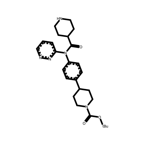 CC(C)(C)OC(=O)N1CCC(c2ccc(N(C(=O)C3CCNCC3)c3cccnn3)cc2)CC1